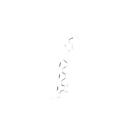 C=CC1CCC(CCc2ccc(-c3ccc(-c4ccc(OCCCC)c(F)c4F)cc3)cc2)CC1